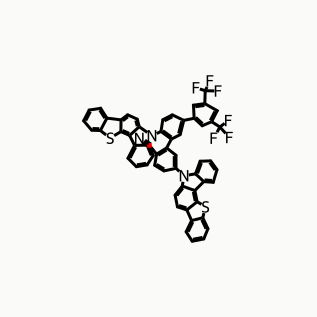 N#Cc1ccc(-n2c3ccccc3c3c4sc5ccccc5c4ccc32)cc1-c1cc(-c2cc(C(F)(F)F)cc(C(F)(F)F)c2)ccc1-n1c2ccccc2c2c3sc4ccccc4c3ccc21